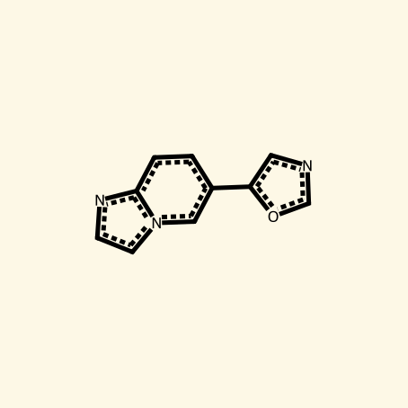 c1cn2cc(-c3cnco3)ccc2n1